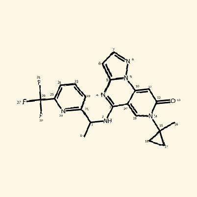 CC(Nc1nc2ccnn2c2cc(=O)n(C3(C)CC3)cc12)c1cccc(C(F)(F)F)n1